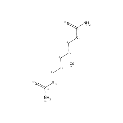 NC(=S)SCCCCCSC(N)=S.[Cd]